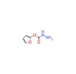 NNC(=O)Oc1ccco1